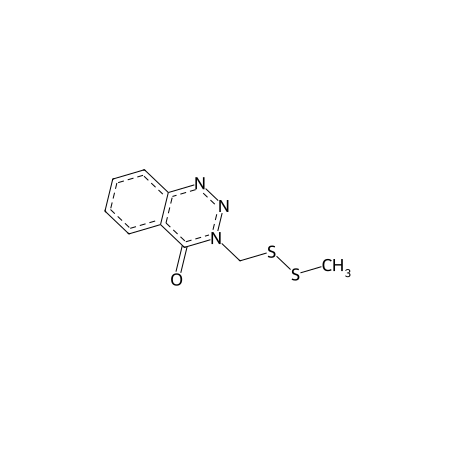 CSSCn1nnc2ccccc2c1=O